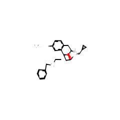 COc1ccc2c(c1)[C@]1(CCNCc3ccccc3)CCN(CC3CC3)[C@H](C2)[C@]12CCCCO2